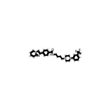 O=C(NCCCCN1CCN(c2cccc(C(F)(F)F)c2)CC1)c1ccc(-c2cn3ccccc3n2)cc1